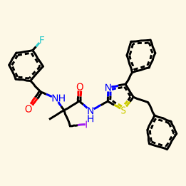 CC(CI)(NC(=O)c1cccc(F)c1)C(=O)Nc1nc(-c2ccccc2)c(Cc2ccccc2)s1